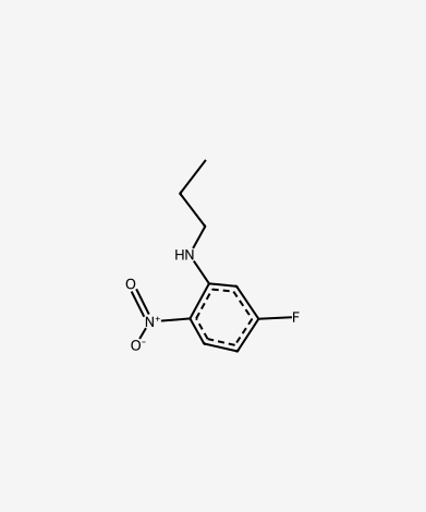 CCCNc1cc(F)ccc1[N+](=O)[O-]